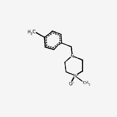 Cc1ccc(CN2CC[N+](C)([O-])CC2)cc1